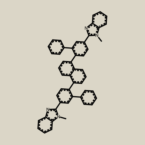 Cn1c(-c2ccc(-c3cccc4c(-c5ccc(-c6nc7ccccc7n6C)cc5-c5ccccc5)cccc34)c(-c3ccccc3)c2)nc2ccccc21